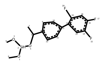 CO[SiH](OC)OC(C)c1ccc(-c2cc(F)c(F)cc2F)cc1